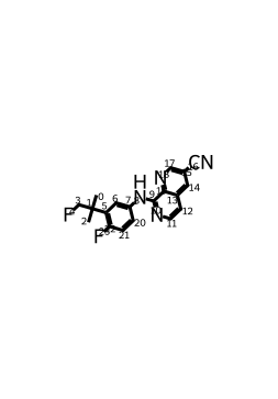 CC(C)(CF)c1cc(Nc2nccc3cc(C#N)cnc23)ccc1F